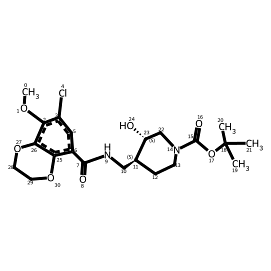 COc1c(Cl)cc(C(=O)NC[C@@H]2CCN(C(=O)OC(C)(C)C)C[C@H]2O)c2c1OCCO2